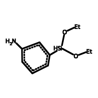 CCO[SiH](OCC)c1cccc(N)c1